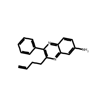 C=CCCc1nc2cc(N)ccc2nc1-c1ccccc1